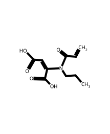 C=CC(=O)N(CCC)/C(=C/C(=O)O)C(=O)O